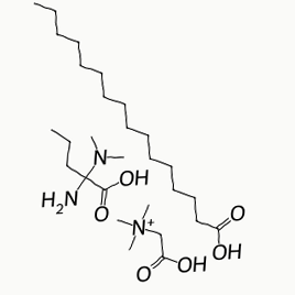 CCCC(N)(C(=O)O)N(C)C.CCCCCCCCCCCCCCCC(=O)O.C[N+](C)(C)CC(=O)O